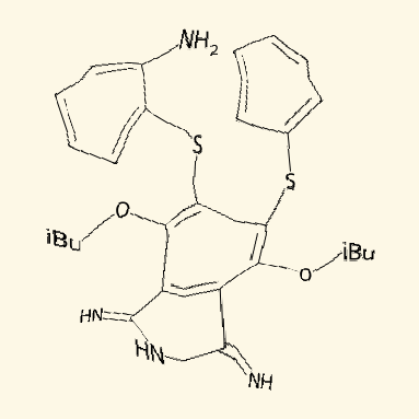 CCC(C)Oc1c(Sc2ccccc2)c(Sc2ccccc2N)c(OC(C)CC)c2c1C(=N)NC2=N